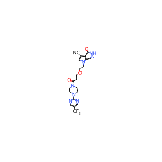 N#Cc1cn(CCOCCC(=O)N2CCN(c3ncc(C(F)(F)F)cn3)CC2)c2cn[nH]c(=O)c12